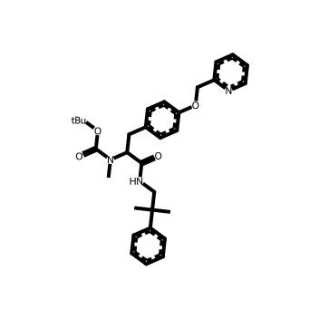 CN(C(=O)OC(C)(C)C)C(Cc1ccc(OCc2ccccn2)cc1)C(=O)NCC(C)(C)c1ccccc1